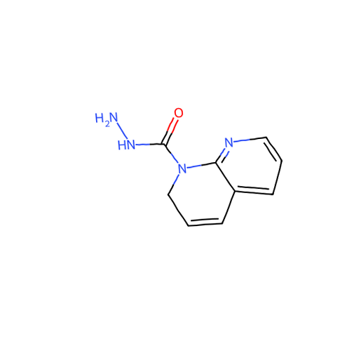 NNC(=O)N1CC=Cc2cccnc21